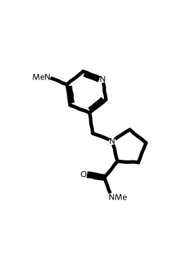 CNC(=O)C1CCCN1Cc1cncc(NC)c1